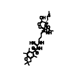 CSCC[C@H](NC(=O)[C@H](CCCNC(=N)NS(=O)(=O)c1c(C)c(C)c2c(c1C)CC(C)(C)O2)NC(C)=O)C(=O)O